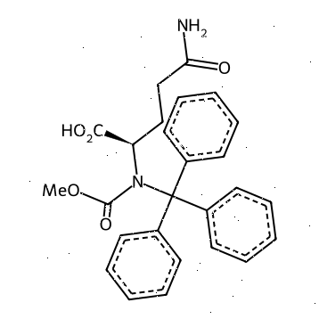 COC(=O)N([C@H](CCC(N)=O)C(=O)O)C(c1ccccc1)(c1ccccc1)c1ccccc1